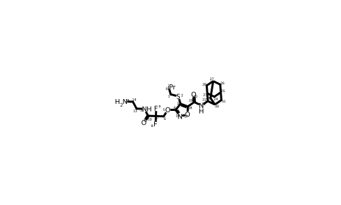 CC(C)CSc1c(OCC(F)(F)C(=O)NCCN)noc1C(=O)NC1C2CC3CC(C2)CC1C3